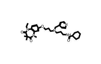 CCN1C(=O)C(C)(C)C(=O)N(C)c2cc(OCCCN(CCCNC(=O)C3CCCCC3)Cc3ccncc3)ccc21